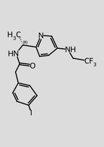 C[C@@H](NC(=O)Cc1ccc(I)cc1)c1ccc(NCC(F)(F)F)cn1